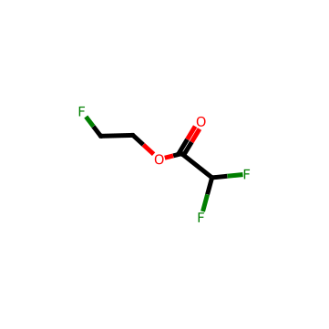 O=C(OCCF)C(F)F